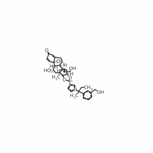 CCC(C)(c1cccc(CO)c1)n1ccc([C@@H]2O[C@@H]3C[C@H]4[C@@H]5CCC6=CC(=O)C=C[C@]6(C)[C@H]5[C@@H](O)C[C@]4(C)[C@]3(C(=O)CO)O2)c1